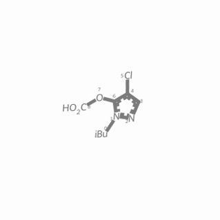 CCC(C)n1ncc(Cl)c1OC(=O)O